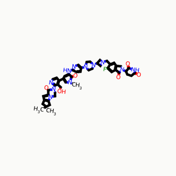 Cn1cc(-c2ccnc(N3CCn4c(cc5c4CC(C)(C)C5)C3=O)c2CO)cc(Nc2ccc(N3CCN(C4CN(Cc5cc6c(cc5F)C(=O)N(C5CCC(=O)NC5=O)C6)C4)CC3)cn2)c1=O